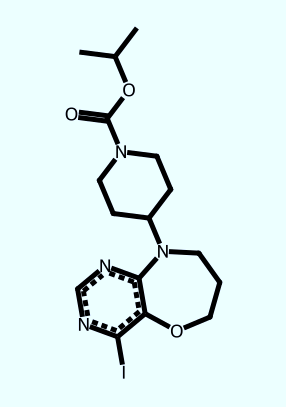 CC(C)OC(=O)N1CCC(N2CCCOc3c(I)ncnc32)CC1